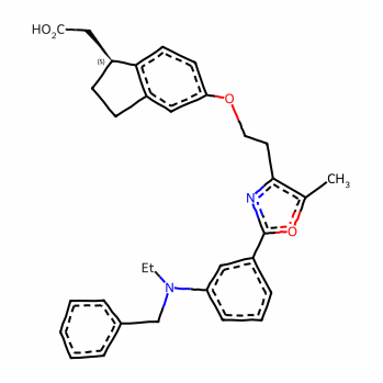 CCN(Cc1ccccc1)c1cccc(-c2nc(CCOc3ccc4c(c3)CC[C@H]4CC(=O)O)c(C)o2)c1